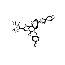 CC(C)C1CN2C(=O)N(Cc3ccc(Cl)cc3)c3cc(N4CC5(COC5)C4)cnc3C2=N1